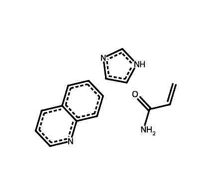 C=CC(N)=O.c1c[nH]cn1.c1ccc2ncccc2c1